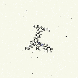 C/C(=N\N=C\c1ccc2ccccc2c1)c1cc(-c2ccc(-c3cc(C)cc(C)c3)cc2)ccc1OC(=O)CCS